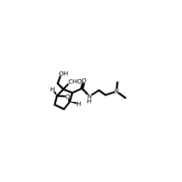 CN(C)CCNC(=O)C1[C@@H]2CC[C@@H](O2)C1(C=O)CO